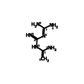 C=C(N)NC(=N)N=C(N)N